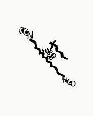 CCCCCC(C)(C)C.N=C=O.N=C=O.O=C=NCCCCCCCCCCCCCCN=C=O